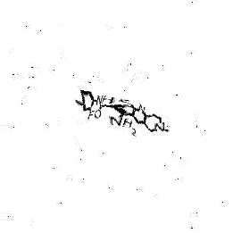 Cc1ccc(NC(=O)c2sc3nc4c(cc3c2N)CN(C)CC4)c(F)c1